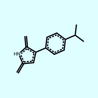 C=c1cc(-c2ccc(C(C)C)cc2)c(=C)[nH]1